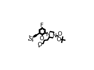 COCC1CC2CN(C(=O)OC(C)(C)C)CCN2c2cc(F)cc(C#C[Si](C)(C)C)c2O1